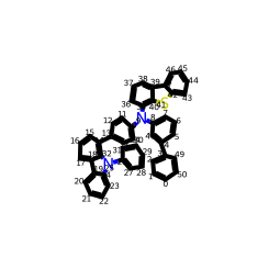 c1ccc(-c2cccc(N(c3ccc(-c4cccc5c6ccccc6n(-c6ccccc6)c45)cc3)c3cccc4c3sc3ccccc34)c2)cc1